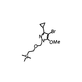 COc1c(Br)c(C2CC2)nn1COCC[Si](C)(C)C